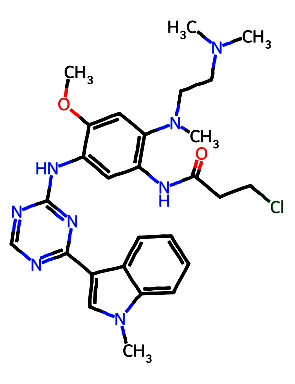 COc1cc(N(C)CCN(C)C)c(NC(=O)CCCl)cc1Nc1ncnc(-c2cn(C)c3ccccc23)n1